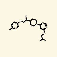 Cc1ccc(OCC(=O)N2CCN(c3cc(OCC(C)C)ncn3)CC2)cn1